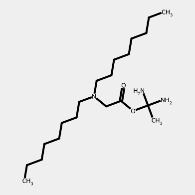 CCCCCCCCN(CCCCCCCC)CC(=O)OC(C)(N)N